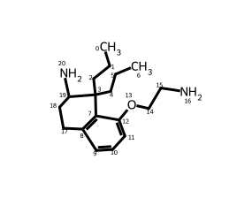 CCCC1(CCC)c2c(cccc2OCCN)CCC1N